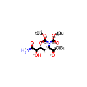 CC(C)COC(=O)[C@H](CCC(O)C(N)=O)N(C(=O)OC(C)(C)C)C(=O)OC(C)(C)C